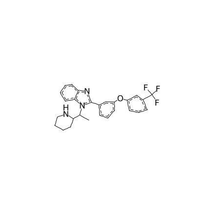 CC(C1CCCCN1)n1c(-c2cccc(Oc3cccc(C(F)(F)F)c3)c2)nc2ccccc21